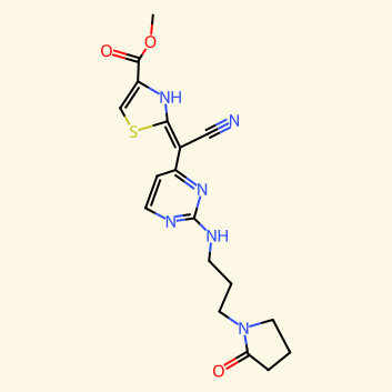 COC(=O)C1=CS/C(=C(/C#N)c2ccnc(NCCCN3CCCC3=O)n2)N1